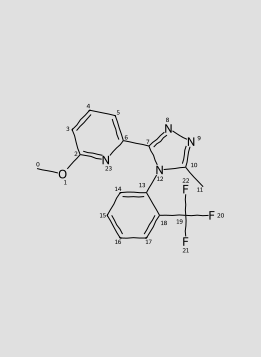 COc1cccc(-c2nnc(C)n2-c2ccccc2C(F)(F)F)n1